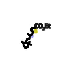 CCOC(=O)c1ccc(/C=C(\C)C=CC2=C(C)CCCC2(C)C)s1